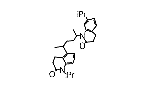 CC(C)c1ccc2c(c1)N(C(C)CCC(C)c1cccc3c1CCC(=O)N3C(C)C)C(=O)CC2